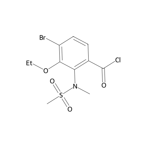 CCOc1c(Br)ccc(C(=O)Cl)c1N(C)S(C)(=O)=O